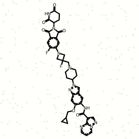 O=C1CCC(N2C(=O)c3cc(F)c(N4CC(F)(CN5CCC(n6cc7cc(NC(=O)c8cnn9cccnc89)c(OCC8CC8)cc7n6)CC5)C4)cc3C2=O)C(=O)N1